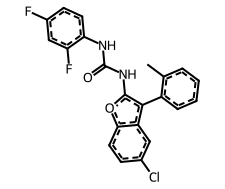 Cc1ccccc1-c1c(NC(=O)Nc2ccc(F)cc2F)oc2ccc(Cl)cc12